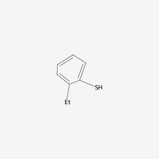 CCc1ccccc1S